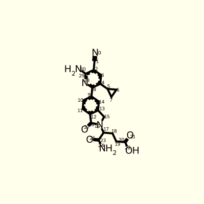 N#Cc1cc(C2CC2)c(-c2ccc3c(c2)CN(C(CCC(=O)O)C(N)=O)C3=O)nc1N